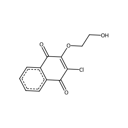 O=C1C(Cl)=C(OCCO)C(=O)c2ccccc21